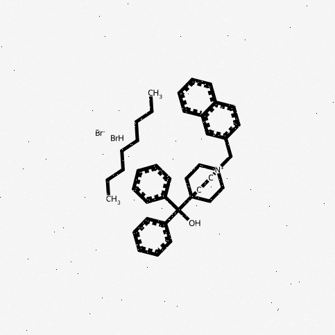 Br.CCCCCCCC.OC(c1ccccc1)(c1ccccc1)C12CC[N+](Cc3ccc4ccccc4c3)(CC1)CC2.[Br-]